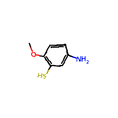 COc1ccc(N)cc1S